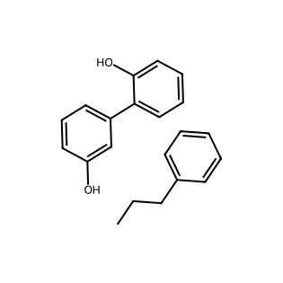 CCCc1ccccc1.Oc1cccc(-c2ccccc2O)c1